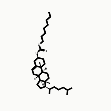 CCCCCCCCOC(=O)O[C@H]1CC[C@@]2(C)C(=CC[C@H]3[C@@H]4CC[C@H](C(C)CCCC(C)C)[C@@]4(C)CC[C@@H]32)C1